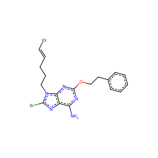 CCC=CCCCn1c(Br)nc2c(N)nc(OCCc3ccccc3)nc21